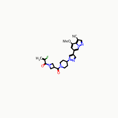 C=C(F)C(=O)N1CC(C(=O)N2CCC(n3cc(-c4cc(OC)c5c(C#N)cnn5c4)cn3)CC2)C1